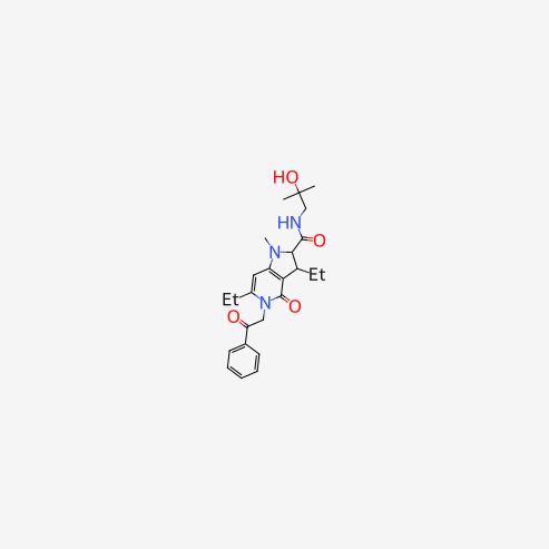 CCc1cc2c(c(=O)n1CC(=O)c1ccccc1)C(CC)C(C(=O)NCC(C)(C)O)N2C